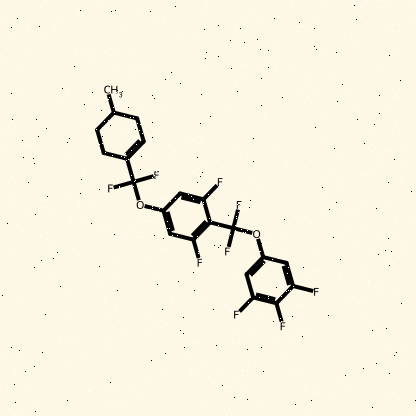 CC1CC=C(C(F)(F)Oc2cc(F)c(C(F)(F)Oc3cc(F)c(F)c(F)c3)c(F)c2)CC1